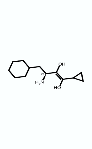 N[C@@H](CC1CCCCC1)C(O)=C(O)C1CC1